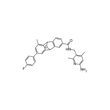 Cc1cc(N)nc(C)c1CNC(=O)c1ccc2c(c1)C1OC2c2c(C)cc(-c3ccc(F)cc3)cc21